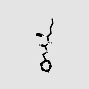 C#C[C@H](CCCC)NC(=O)OCc1ccccc1